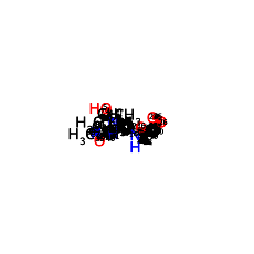 CC(N[C@@H](CO)C(C)(C)C)c1ccc(NC(=O)C2(c3ccc4c(c3)OCO4)CC2)cc1-c1ccc(C(=O)N(C)C)cc1